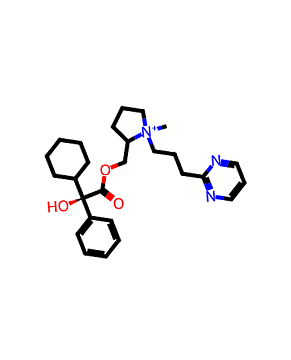 C[N+]1(CCCc2ncccn2)CCCC1COC(=O)[C@](O)(c1ccccc1)C1CCCCC1